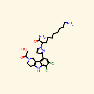 NCCCCCCCCC(C(N)=O)n1ccc(-c2cc(Cl)c(Cl)c3[nH]c4c(c23)CN(C(=O)CO)CC4)n1